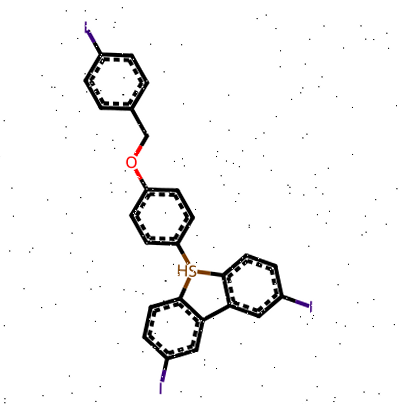 Ic1ccc(COc2ccc([SH]3c4ccc(I)cc4-c4cc(I)ccc43)cc2)cc1